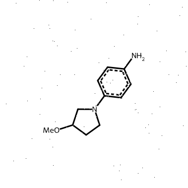 COC1CCN(c2ccc(N)cc2)C1